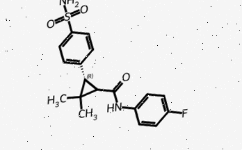 CC1(C)C(C(=O)Nc2ccc(F)cc2)[C@H]1c1ccc(S(N)(=O)=O)cc1